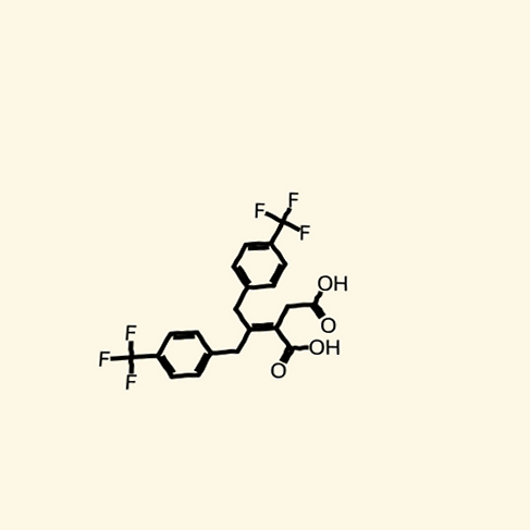 O=C(O)CC(C(=O)O)=C(Cc1ccc(C(F)(F)F)cc1)Cc1ccc(C(F)(F)F)cc1